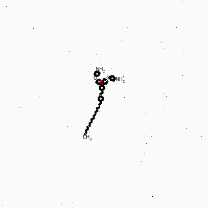 CCCCCCCCCCCCCCCCCCCC1CCC(CCC2CCC(c3ccc(Oc4ccc(N)cc4)cc3)(c3ccc(Oc4ccc(N)cc4)cc3)CC2)CC1